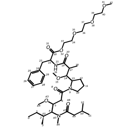 CC[C@H](C)C(C(CC(=O)N1CCCC1C(OC)C(C)C(=O)NC(Cc1ccccc1)C(=O)OCCOCCOCCOC)OC)N(C)C(=O)CC(C)C